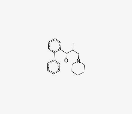 CC(CN1CCCCC1)C(=O)c1ccccc1-c1ccccc1